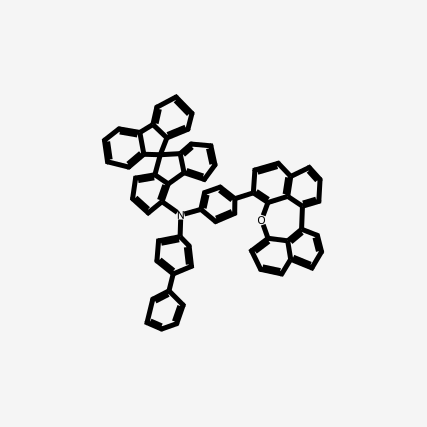 c1ccc(-c2ccc(N(c3ccc(-c4ccc5cccc6c7cccc8cccc(oc4c56)c87)cc3)c3cccc4c3-c3ccccc3C43c4ccccc4-c4ccccc43)cc2)cc1